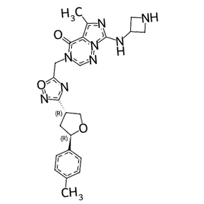 Cc1ccc([C@H]2C[C@H](c3noc(Cn4cnn5c(NC6CNC6)nc(C)c5c4=O)n3)CO2)cc1